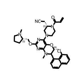 C=CC(=O)N1CCN(c2nc(OC[C@@H]3CCCN3C)nc3c2O[C@H](C)C(c2cccc4cccc(Cl)c24)N3C)C[C@@H]1CC#N